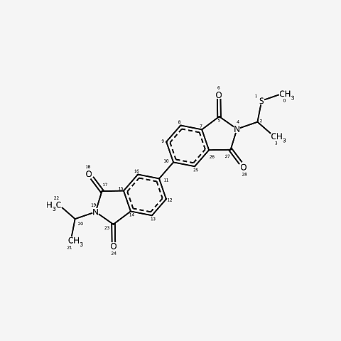 CSC(C)N1C(=O)c2ccc(-c3ccc4c(c3)C(=O)N(C(C)C)C4=O)cc2C1=O